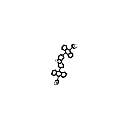 c1ccc2c(-c3ccc4c(c3)oc3ccc(-c5c6ccccc6c(-c6ccoc6)c6ccccc56)cc34)c3ccccc3c(-c3ccoc3)c2c1